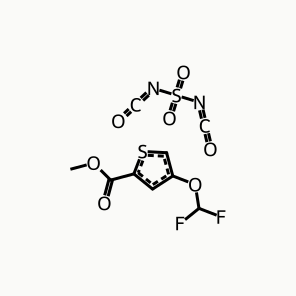 COC(=O)c1cc(OC(F)F)cs1.O=C=NS(=O)(=O)N=C=O